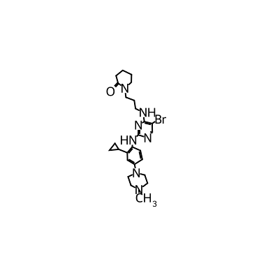 CN1CCN(c2ccc(Nc3ncc(Br)c(NCCCN4CCCCC4=O)n3)c(C3CC3)c2)CC1